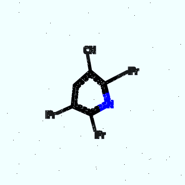 CC(C)c1cc(C#N)c(C(C)C)nc1C(C)C